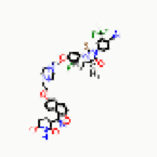 CC1(C)C(=O)N(c2ccc(C#N)c(C(F)(F)F)c2)C(=S)N1c1ccc(OCCN2CCN(CCOc3ccc4c(ccc5onc(C6CCC(=O)NC6=O)c54)c3)CC2)c(F)c1